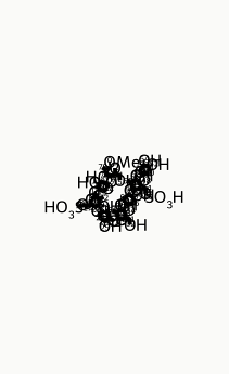 CO[C@H]1OC(CO)[C@@H](O[C@H]2C[C@H](O)[C@H](OC3OC(COS(=O)(=O)O)[C@@H](O[C@H]4C[C@H](O)C(O[C@@H]5OC(CO)[C@@H](O[C@H]6C[C@H](O)[C@@H](O[C@@H]7OC(COS(=O)(=O)O)[C@@H](O[C@H]8C[C@H](O)[C@H](O)CO8)[C@H](O)C7C)CO6)[C@H](O)C5C)CO4)[C@H](O)C3C)CO2)[C@H](O)C1C